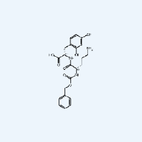 NCCC[C@H](NC(=O)OCc1ccccc1)C(=O)N[C@@H](Cc1ccc(O)cc1O)C(=O)O